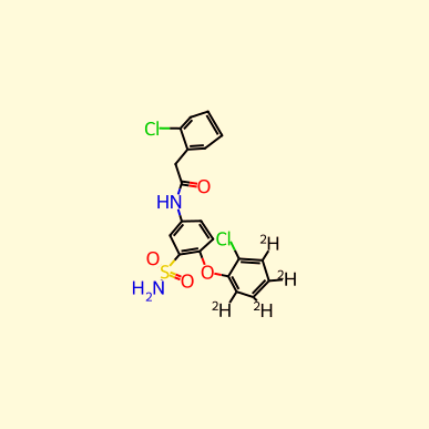 [2H]c1c([2H])c([2H])c(Oc2ccc(NC(=O)Cc3ccccc3Cl)cc2S(N)(=O)=O)c(Cl)c1[2H]